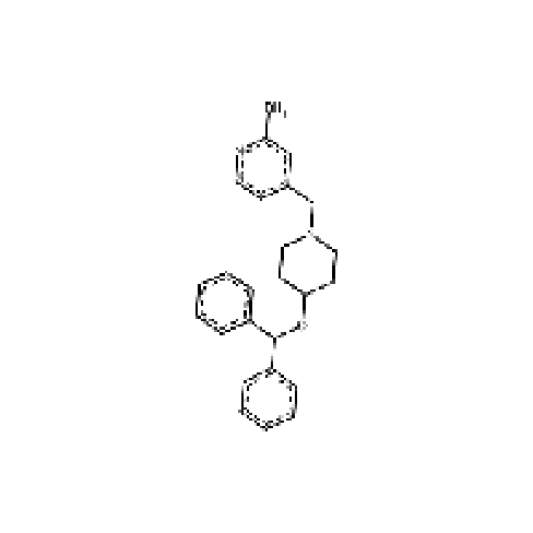 Bc1cc(CN2CCC(OC(c3ccccc3)c3ccccc3)CC2)ccn1